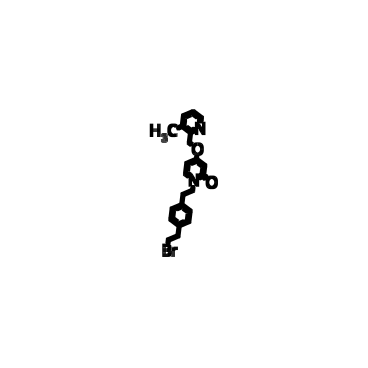 Cc1cccnc1COc1ccn(CCc2ccc(CCBr)cc2)c(=O)c1